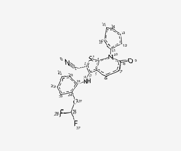 N#Cc1sc2c(ccc(=O)n2-c2ccccc2)c1Nc1ccccc1OC(F)F